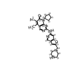 CC(=O)c1c(C)c2cnc(Nc3cc4oc(CN5CCNCC5)cc4cn3)nc2n(C2CCCC2)c1=O